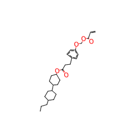 C=CC(=O)OCOc1ccc(CCC(=O)OC2CCC(C3CCC(CCC)CC3)CC2)cc1